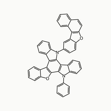 c1ccc(-n2c3ccccc3c3c2c2oc4ccccc4c2c2c4ccccc4n(-c4ccc5oc6ccc7ccccc7c6c5c4)c23)cc1